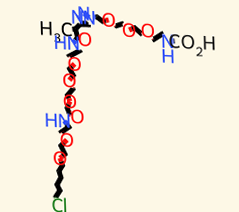 CC(C(=O)NCCOCCOCCOCC(=O)NCCOCCOCCCCCCCl)c1cn(CCOCCOCCOCCNC(=O)O)nn1